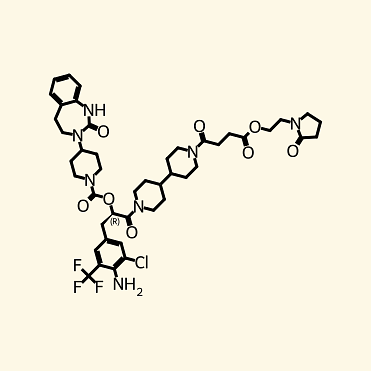 Nc1c(Cl)cc(C[C@@H](OC(=O)N2CCC(N3CCc4ccccc4NC3=O)CC2)C(=O)N2CCC(C3CCN(C(=O)CCC(=O)OCCN4CCCC4=O)CC3)CC2)cc1C(F)(F)F